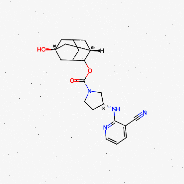 N#Cc1cccnc1N[C@@H]1CCN(C(=O)OC2C3CC4C[C@H]2C[C@@](O)(C4)C3)C1